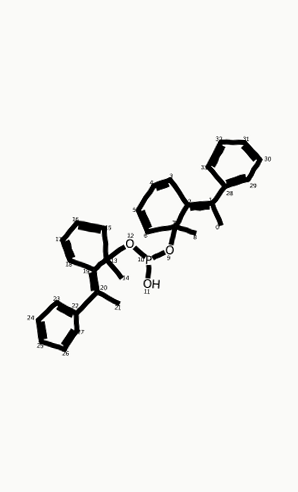 CC(=C1C=CC=CC1(C)OP(O)OC1(C)C=CC=CC1=C(C)c1ccccc1)c1ccccc1